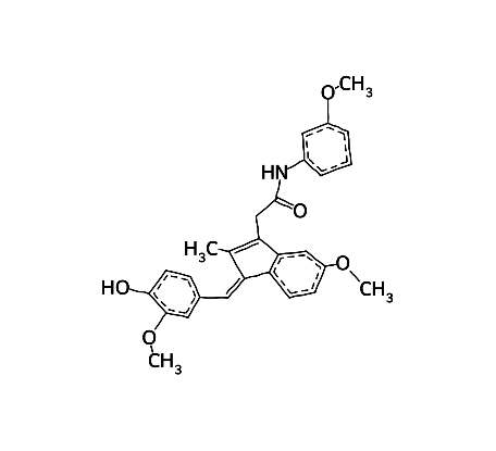 COc1cccc(NC(=O)CC2=C(C)C(=Cc3ccc(O)c(OC)c3)c3ccc(OC)cc32)c1